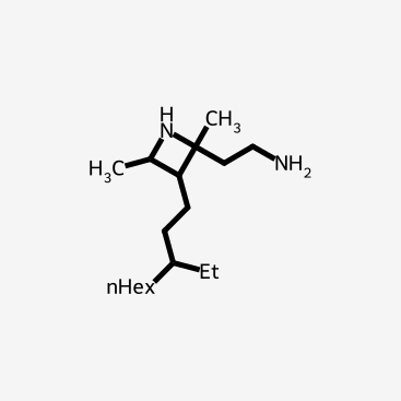 CCCCCCC(CC)CCC1C(C)NC1(C)CCN